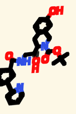 CC(C)(C)OC(=O)N1Cc2cc(O)ccc2CC1[C@H](O)CNC(=O)c1cccc(-c2ccccn2)c1